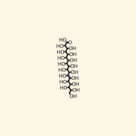 O=C(O)C(O)C(O)C(O)C(O)C(O)C(O)C(O)C(O)C(O)C(O)/C(O)=C(\O)C(O)C(O)C(O)C(O)CO